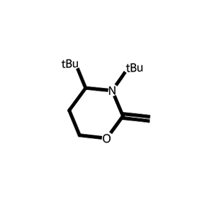 C=C1OCCC(C(C)(C)C)N1C(C)(C)C